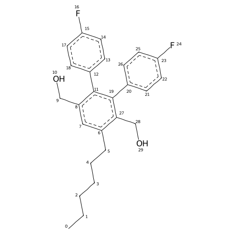 CCCCCCc1cc(CO)c(-c2ccc(F)cc2)c(-c2ccc(F)cc2)c1CO